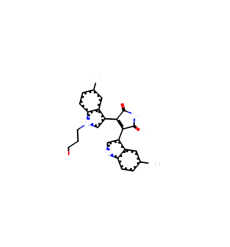 Cc1ccc2[nH]cc(C3=C(c4cn(CCCO)c5ccc(C)cc45)C(=O)NC3=O)c2c1